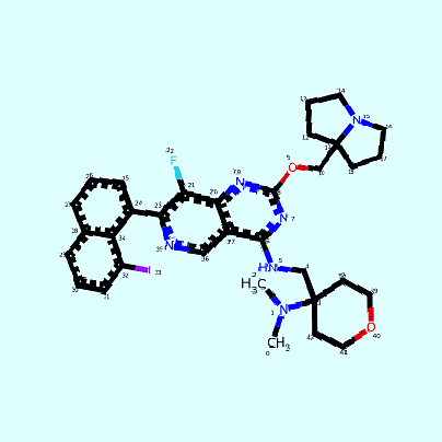 CN(C)C1(CNc2nc(OCC34CCCN3CCC4)nc3c(F)c(-c4cccc5cccc(I)c45)ncc23)CCOCC1